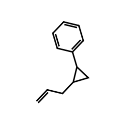 C=CCC1CC1c1ccccc1